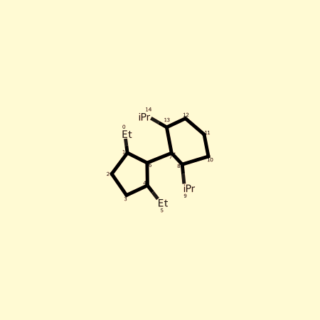 CCC1CCC(CC)C1[C]1C(C(C)C)CCCC1C(C)C